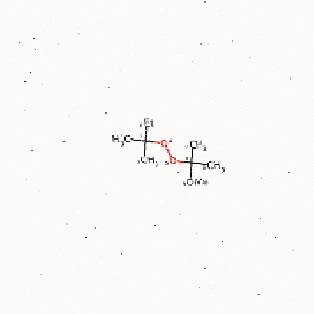 CCC(C)(C)OOC(C)(C)OC